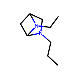 CCCN1CC2CC1N2CC